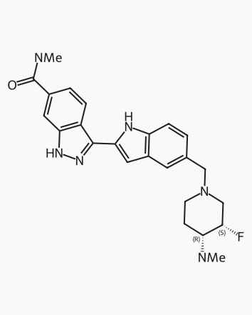 CNC(=O)c1ccc2c(-c3cc4cc(CN5CC[C@@H](NC)[C@@H](F)C5)ccc4[nH]3)n[nH]c2c1